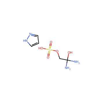 NC(N)(O)COS(=O)(=O)O.c1cn[nH]c1